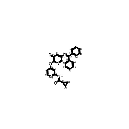 O=C(Nc1cc(Oc2ncc(N=C(c3ccccc3)c3ccccc3)cc2F)ccn1)C1CC1